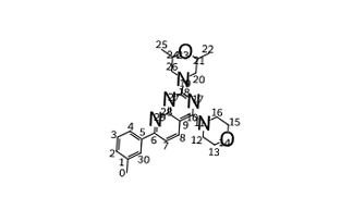 Cc1cccc(-c2ccc3c(N4CCOCC4)nc(N4CC(C)OC(C)C4)nc3n2)c1